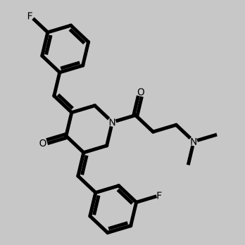 CN(C)CCC(=O)N1C/C(=C\c2cccc(F)c2)C(=O)/C(=C/c2cccc(F)c2)C1